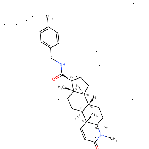 Cc1ccc(CNC(=O)[C@H]2CC[C@H]3[C@@H]4CC[C@H]5N(C)C(=O)C=C[C@]5(C)[C@H]4CC[C@]23C)cc1